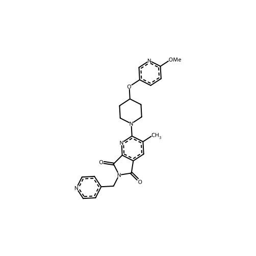 COc1ccc(OC2CCN(c3nc4c(cc3C)C(=O)N(Cc3ccncc3)C4=O)CC2)cn1